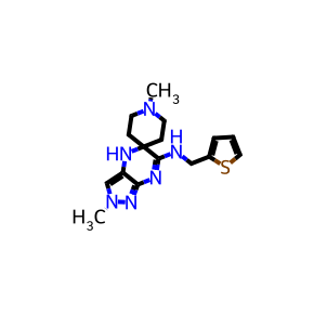 CN1CCC2(CC1)Nc1cn(C)nc1N=C2NCc1cccs1